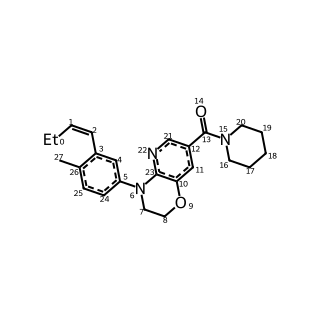 CC/C=C\c1cc(N2CCOc3cc(C(=O)N4CCCCC4)cnc32)ccc1C